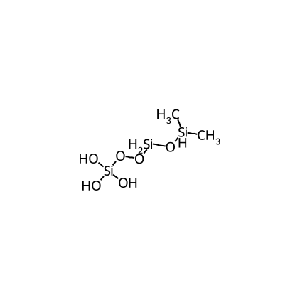 C[SiH](C)O[SiH2]OO[Si](O)(O)O